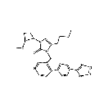 CCCCc1cn(C2CCC2OC)c(=O)n1Cc1cnccc1-c1ccc(-c2nnn[nH]2)cc1